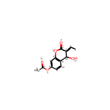 CC=C1C(=O)Oc2cc(OC(=O)CCCC)ccc2C1O